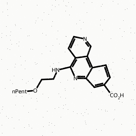 CCCCCOCCNc1nc2cc(C(=O)O)ccc2c2cnccc12